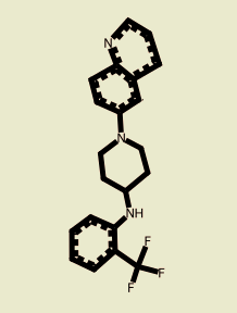 FC(F)(F)c1ccccc1NC1CCN(c2[c]c3cccnc3cc2)CC1